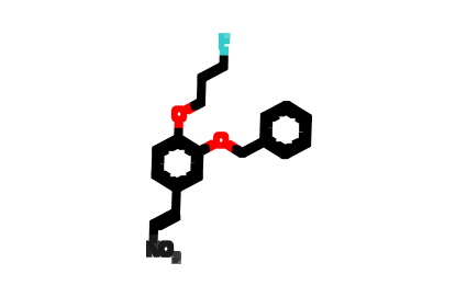 O=[N+]([O-])C=Cc1ccc(OCCCF)c(OCc2ccccc2)c1